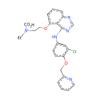 CCN(CCOc1cccc2ncnc(Nc3ccc(OCc4ccccn4)c(Cl)c3)c12)C(=O)O